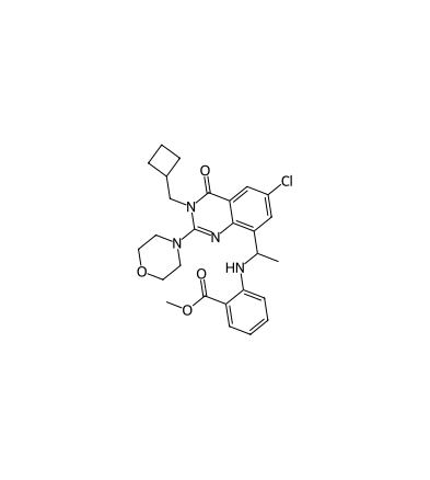 COC(=O)c1ccccc1NC(C)c1cc(Cl)cc2c(=O)n(CC3CCC3)c(N3CCOCC3)nc12